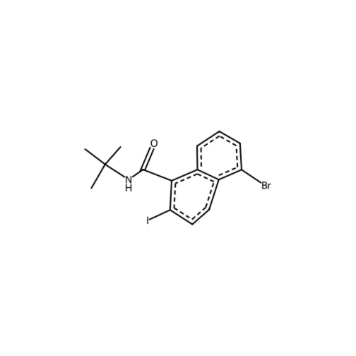 CC(C)(C)NC(=O)c1c(I)ccc2c(Br)cccc12